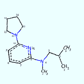 CC(C)CN(C)c1cccc(N2CCCC2)n1